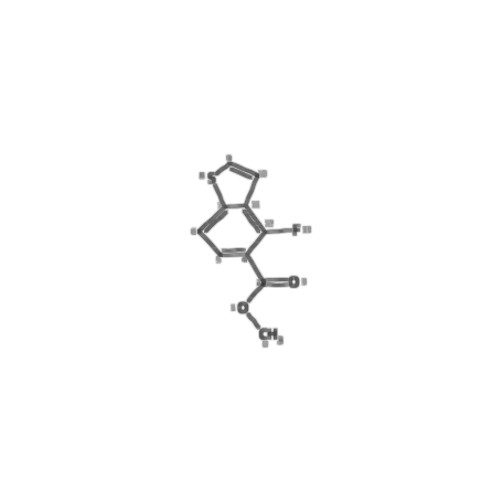 COC(=O)c1ccc2sccc2c1F